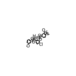 COc1cccc(S(=O)(=O)Nc2ccc(Cl)cc2NS(=O)(=O)c2ccc3c(c2)c(=O)sn3C)c1